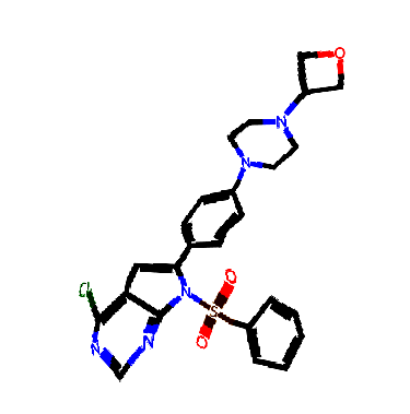 O=S(=O)(c1ccccc1)n1c(-c2ccc(N3CCN(C4COC4)CC3)cc2)cc2c(Cl)ncnc21